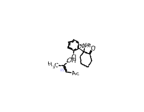 CC(=O)/C=C(/C)O.CNC1(c2ccccc2Cl)CCCCC1=O